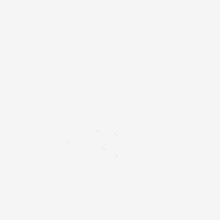 CC(C)(C)C(=O)OC[n+]1ccc(N/C(=N\CCCCCCOc2ccc(Cl)cc2)NC#N)cc1.[Cl-]